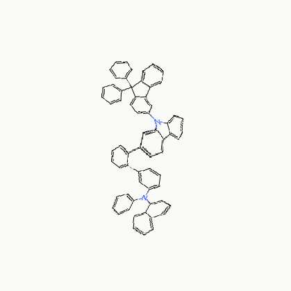 c1ccc(N(c2cccc(-c3ccccc3-c3ccc4c5ccccc5n(-c5ccc6c(c5)-c5ccccc5C6(c5ccccc5)c5ccccc5)c4c3)c2)c2cccc3ccccc23)cc1